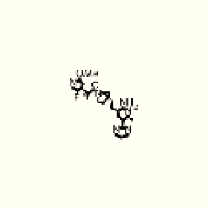 COc1cc([C@H](C)C(=O)N2CC[C@]3(CCc4cc(-c5ncccn5)c(C)nc4N)CC23)c(F)cn1